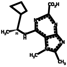 Cc1nc2nc(C(=O)O)nc(N[C@H](C)C3CCC3)c2n1C